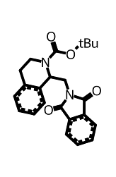 CC(C)(C)OC(=O)N1CCc2ccccc2C1CN1C(=O)c2ccccc2C1=O